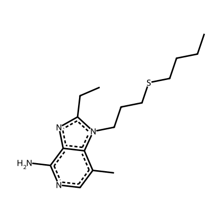 CCCCSCCCn1c(CC)nc2c(N)ncc(C)c21